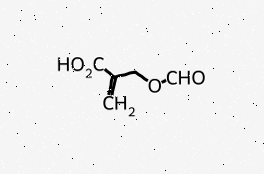 C=C(COC=O)C(=O)O